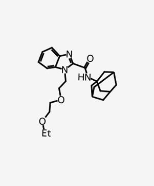 CCOCCOCCn1c(C(=O)NC23CC4CC(CC(C4)C2)C3)nc2ccccc21